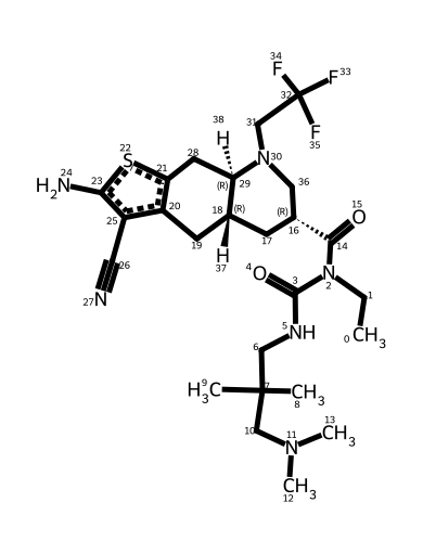 CCN(C(=O)NCC(C)(C)CN(C)C)C(=O)[C@@H]1C[C@@H]2Cc3c(sc(N)c3C#N)C[C@H]2N(CC(F)(F)F)C1